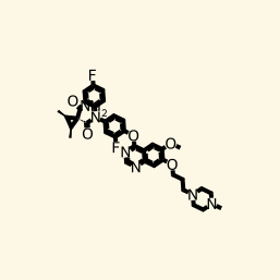 COc1cc2c(Oc3ccc(N(C(=O)[C@@]4(C(N)=O)[C@H](C)[C@@H]4C)c4ccc(F)cc4)cc3F)ncnc2cc1OCCCN1CCN(C)CC1